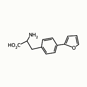 NC(Cc1ccc(-c2ccco2)cc1)C(=O)O